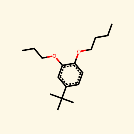 CCCCOc1ccc(C(C)(C)C)cc1OCCC